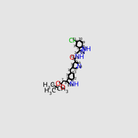 CC(C)(C)OC(=O)Cc1c[nH]c2ccc(Cc3cncc(C(=O)NCc4n[nH]c5ccc(Cl)cc45)c3)cc12